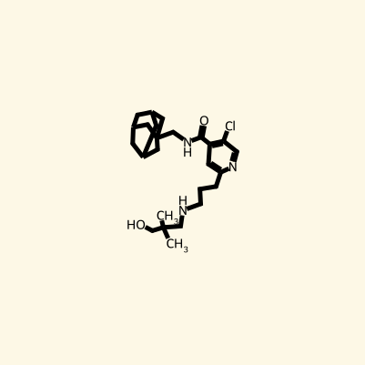 CC(C)(CO)CNCCCc1cc(C(=O)NCC23CC4CC(CC(C4)C2)C3)c(Cl)cn1